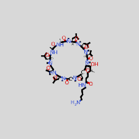 CC[C@@H]1CC(=O)[C@H]([C@H](O)[C@H](C)CCCC(=O)NCCCCCN)N(C)C(=O)[C@H](C(C)C)N(C)C(=O)[C@H](CC(C)C)N(C)C(=O)[C@H](CC(C)C)N(C)C(=O)[C@@H](C)NC(=O)[C@H](C)NC(=O)[C@H](CC(C)C)N(C)C(=O)[C@H](C(C)C)NC(=O)[C@H](CC(C)C)N(C)C(=O)CN(C)C1=O